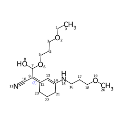 CCOCCCOC(O)/C(C#N)=C1\C=C(NCCCOC)CCC1